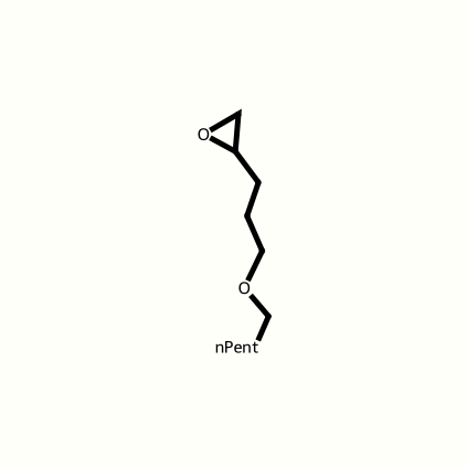 CCCCCCOCCCC1CO1